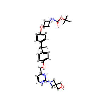 CC(C)(C)OC(=O)NC1CC(Oc2ccc(C(C)(C)c3ccc(OCc4ccnc(N5CC6(COC6)C5)n4)cc3)cc2)C1